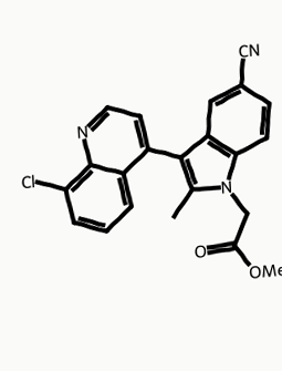 COC(=O)Cn1c(C)c(-c2ccnc3c(Cl)cccc23)c2cc(C#N)ccc21